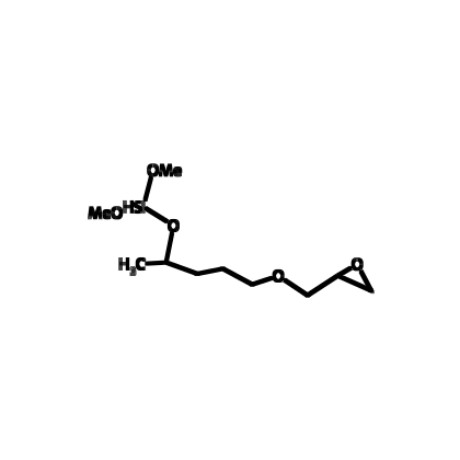 CO[SiH](OC)OC(C)CCCOCC1CO1